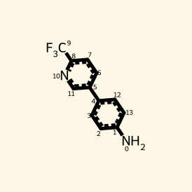 Nc1ccc(-c2ccc(C(F)(F)F)nc2)cc1